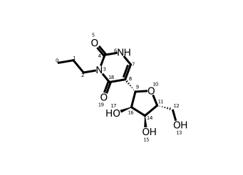 CCCn1c(=O)[nH]cc([C@@H]2O[C@H](CO)[C@@H](O)[C@H]2O)c1=O